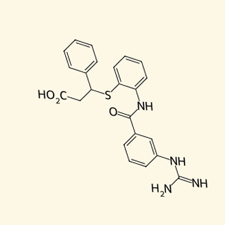 N=C(N)Nc1cccc(C(=O)Nc2ccccc2SC(CC(=O)O)c2ccccc2)c1